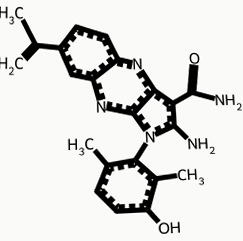 C=C(C)c1ccc2nc3c(C(N)=O)c(N)n(-c4c(C)ccc(O)c4C)c3nc2c1